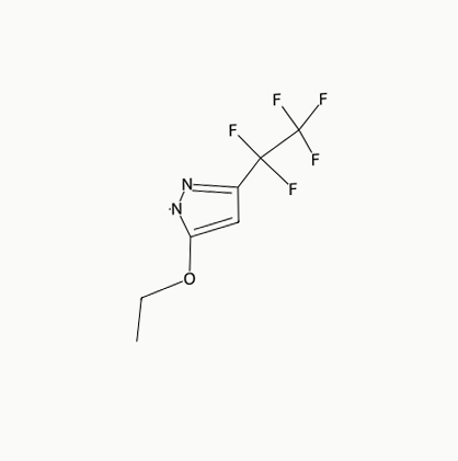 CCOC1=CC(C(F)(F)C(F)(F)F)=N[N]1